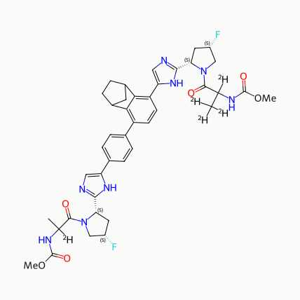 [2H]C(C)(NC(=O)OC)C(=O)N1C[C@@H](F)C[C@H]1c1ncc(-c2ccc(-c3ccc(-c4cnc([C@@H]5C[C@H](F)CN5C(=O)C([2H])(NC(=O)OC)C([2H])([2H])[2H])[nH]4)c4c3C3CCC4C3)cc2)[nH]1